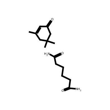 CC1=CC(=O)CC(C)(C)C1.NC(=O)CCCCC(N)=O